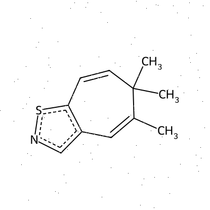 CC1=Cc2cnsc2C=CC1(C)C